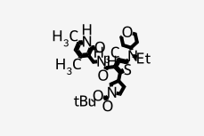 CCN(c1sc(C2CCN(C(=O)OC(C)(C)C)C2)c(C(=O)NCc2c(C)cc(C)[nH]c2=O)c1C)C1CCOCC1